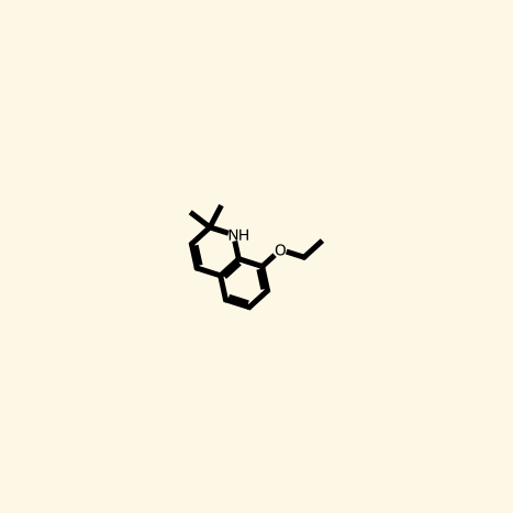 CCOc1cccc2c1NC(C)(C)C=C2